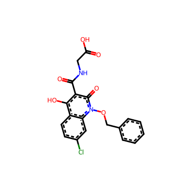 O=C(O)CNC(=O)c1c(O)c2ccc(Cl)cc2n(OCc2ccccc2)c1=O